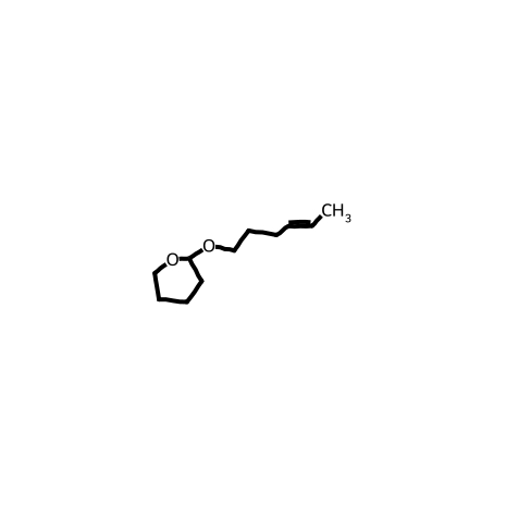 CC=CCCCOC1CCCCO1